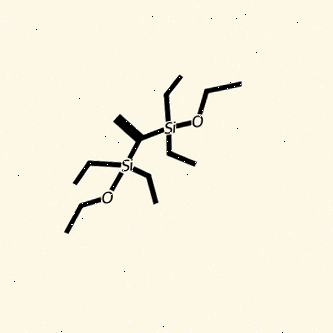 C=C([Si](CC)(CC)OCC)[Si](CC)(CC)OCC